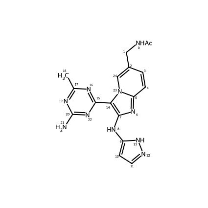 CC(=O)NCc1ccc2nc(Nc3ccn[nH]3)c(-c3nc(C)nc(N)n3)n2c1